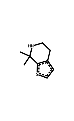 CC1(C)NCCc2ccsc21